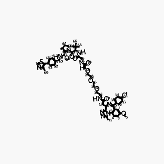 COc1ccc2c(c1)C(c1ccc(Cl)cc1)=NC(CC(=O)NCCOCCOCCOCC(=O)NCC(=O)NC(C(=O)N1CCC[C@H]1C(=O)NCc1ccc(-c3scnc3C)cc1)C(C)(C)C)c1nnc(C)n1-2